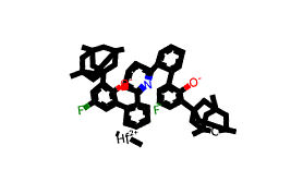 CC12CC3(C)CC(C)(C1)CC(c1cc(F)cc(-c4ccccc4-c4cccc(-c5ccccc5-c5cc(F)cc(C67CC8(C)CC(C)(CC(C)(C8)C6)C7)c5[O-])n4)c1[O-])(C2)C3.[CH3][Hf+2][CH3]